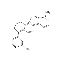 Cc1cccc(C2=c3ccc4c(c3CCC2)CC=c2c(N)cccc2=4)c1